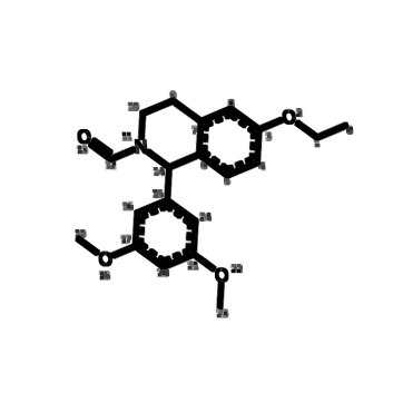 CCOc1ccc2c(c1)CCN(C=O)C2c1cc(OC)cc(OC)c1